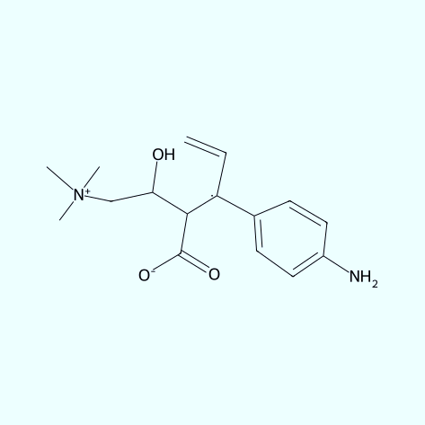 C=C[C](c1ccc(N)cc1)C(C(=O)[O-])C(O)C[N+](C)(C)C